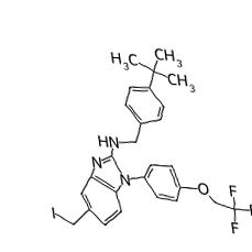 CC(C)(C)c1ccc(CNc2nc3cc(CI)ccc3n2-c2ccc(OCC(F)(F)F)cc2)cc1